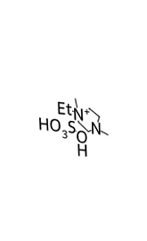 CC[N+]1(C)CCN(C)CC1.O=S(=O)(O)O